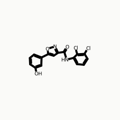 O=C(Nc1cccc(Cl)c1Cl)c1cc(-c2cccc(O)c2)on1